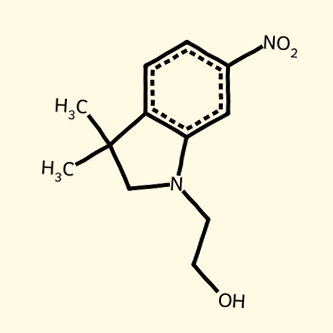 CC1(C)CN(CCO)c2cc([N+](=O)[O-])ccc21